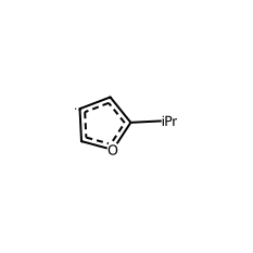 CC(C)c1c[c]co1